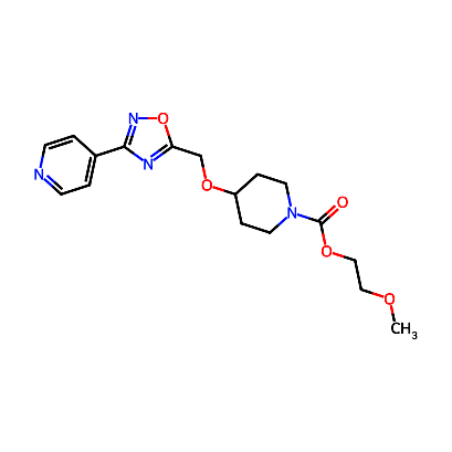 COCCOC(=O)N1CCC(OCc2nc(-c3ccncc3)no2)CC1